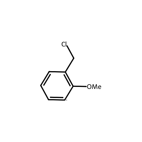 COc1[c]cccc1CCl